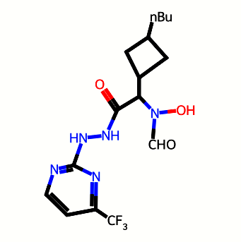 CCCCC1CC(C(C(=O)NNc2nccc(C(F)(F)F)n2)N(O)C=O)C1